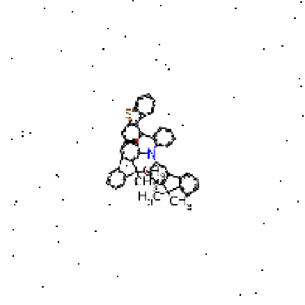 CC1(C)c2ccccc2-c2cc(N(c3ccccc3-c3cccc4sc5ccccc5c34)c3cccc4c3C(C)(C)c3ccccc3-4)ccc21